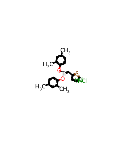 Cc1ccc([O][Ti](=[CH]c2cccs2)[O]c2ccc(C)cc2C)c(C)c1.Cl.Cl